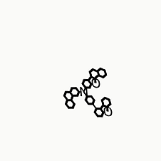 c1ccc2c(c1)ccc1ccc(N(c3ccc(-c4cccc5oc6ccccc6c45)cc3)c3ccc4c(c3)oc3c5ccccc5ccc43)cc12